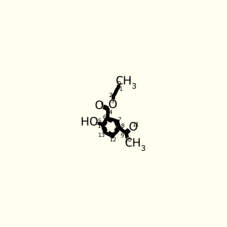 CCCOC(=O)c1cc(C(C)=O)ccc1O